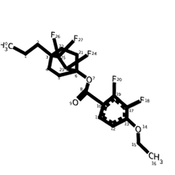 CCCC12CCC(OC(=O)c3ccc(OCC)c(F)c3F)(CC1)C(F)C2(F)F